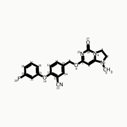 CN1CCn2c1cc(OCc1ccc(Oc3cccc(F)c3)c(C#N)c1)nc2=O